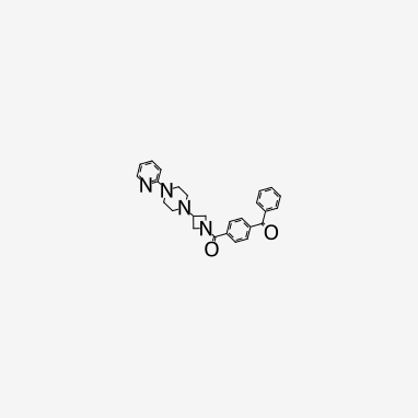 O=C(c1ccccc1)c1ccc(C(=O)N2CC(N3CCN(c4ccccn4)CC3)C2)cc1